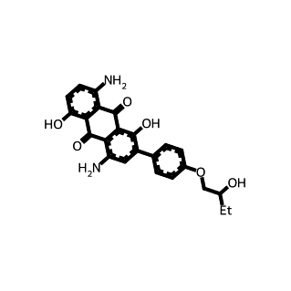 CCC(O)COc1ccc(-c2cc(N)c3c(c2O)C(=O)c2c(N)ccc(O)c2C3=O)cc1